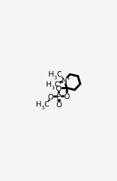 COP1(=O)OC2(CCCC[N+]2(C)C)O1